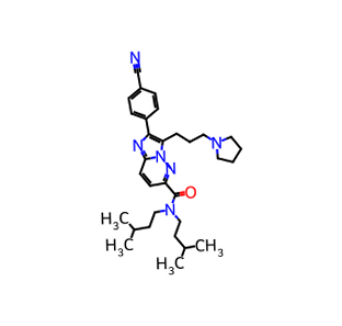 CC(C)CCN(CCC(C)C)C(=O)c1ccc2nc(-c3ccc(C#N)cc3)c(CCCN3CCCC3)n2n1